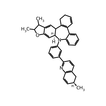 CC1OC2=C[C@H]3C(C=C2C1C)C1=C(C=CCC1)c1ccccc1N3c1cccc(-c2ccc3c(n2)C=C[C@H](C)C3)c1